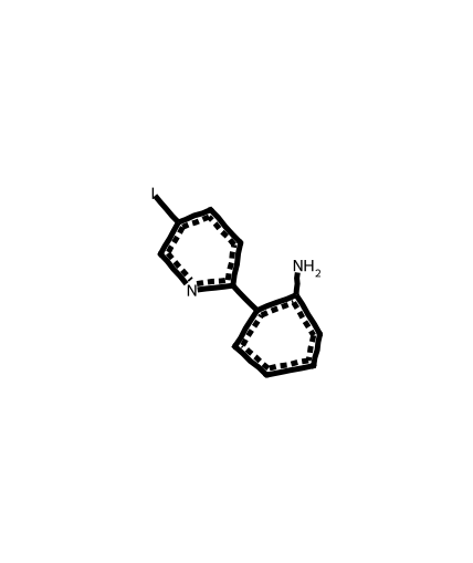 Nc1ccccc1-c1ccc(I)cn1